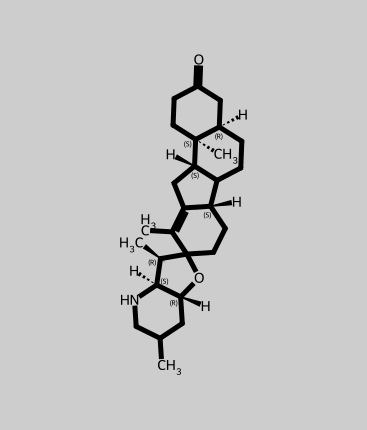 CC1=C2C[C@H]3C(CC[C@@H]4CC(=O)CC[C@@]43C)[C@@H]2CCC12O[C@@H]1CC(C)CN[C@H]1[C@H]2C